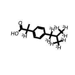 [2H]C(C)(C(=O)O)c1ccc(C([2H])([2H])C(C([2H])([2H])[2H])C([2H])([2H])[2H])cc1